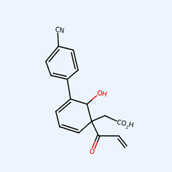 C=CC(=O)C1(CC(=O)O)C=CC=C(c2ccc(C#N)cc2)C1O